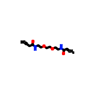 C#CCC(=O)NCCOCCOCCNC(=O)C=C